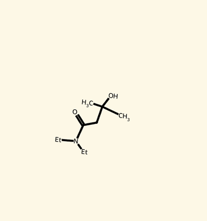 CCN(CC)C(=O)CC(C)(C)O